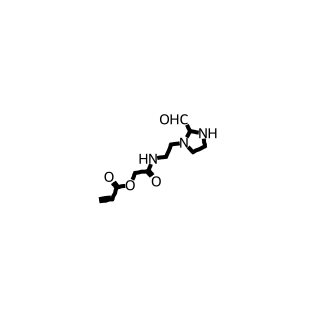 C=CC(=O)OCC(=O)NCCN1CCNC1C=O